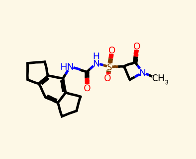 CN1CC(S(=O)(=O)NC(=O)Nc2c3c(cc4c2CCC4)CCC3)C1=O